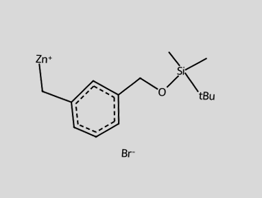 CC(C)(C)[Si](C)(C)OCc1cccc([CH2][Zn+])c1.[Br-]